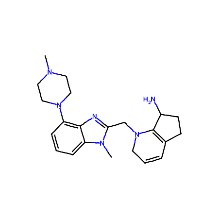 CN1CCN(c2cccc3c2nc(CN2CC=CC4=C2C(N)CC4)n3C)CC1